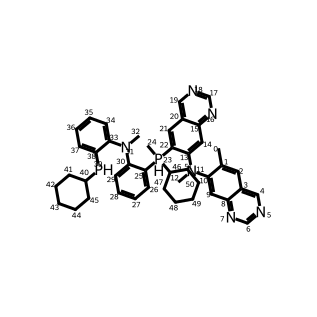 Cc1cc2cncnc2cc1N(C)c1cc2ncncc2cc1[PH](C)(c1ccccc1N(C)c1ccccc1PC1CCCCC1)C1CCCCC1